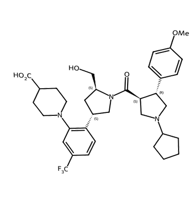 COc1ccc([C@@H]2CN(C3CCCC3)C[C@H]2C(=O)N2C[C@H](c3ccc(C(F)(F)F)cc3N3CCC(C(=O)O)CC3)C[C@H]2CO)cc1